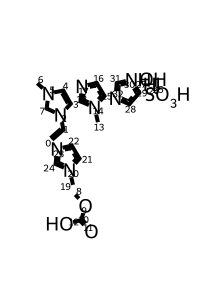 C=CN1C=CN(C)C1.COC(=O)O.Cn1ccnc1.Cn1ccnc1.I.O=S(=O)(O)O.c1c[nH]cn1